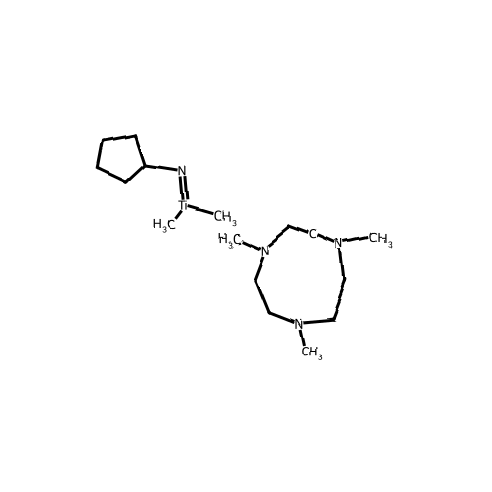 CN1CCN(C)CCN(C)CC1.[CH3][Ti]([CH3])=[N]C1CCCC1